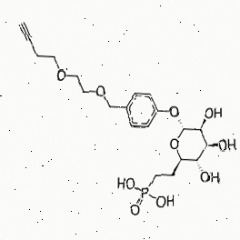 C#CCCOCCOCc1ccc(O[C@H]2O[C@H](CCP(=O)(O)O)[C@@H](O)[C@H](O)[C@@H]2O)cc1